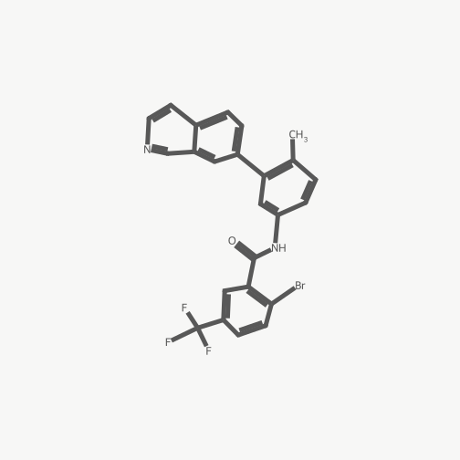 Cc1ccc(NC(=O)c2cc(C(F)(F)F)ccc2Br)cc1-c1ccc2ccncc2c1